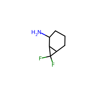 NC1CCCC2C1C2(F)F